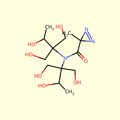 CC(O)C(CO)(CO)N(C(=O)C1(C)N=N1)C(CO)(CO)C(C)O